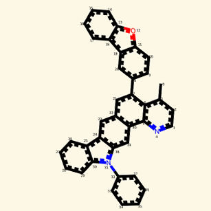 Cc1ccnc2c1c(-c1ccc3oc4ccccc4c3c1)cc1cc3c4ccccc4n(-c4ccccc4)c3cc12